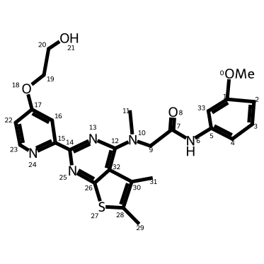 COc1cccc(NC(=O)CN(C)c2nc(-c3cc(OCCO)ccn3)nc3sc(C)c(C)c23)c1